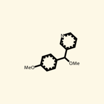 COc1ccc(C(OC)c2cccnc2)cc1